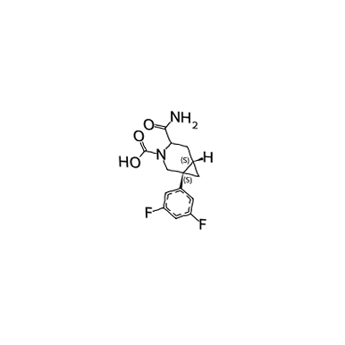 NC(=O)C1C[C@@H]2C[C@]2(c2cc(F)cc(F)c2)CN1C(=O)O